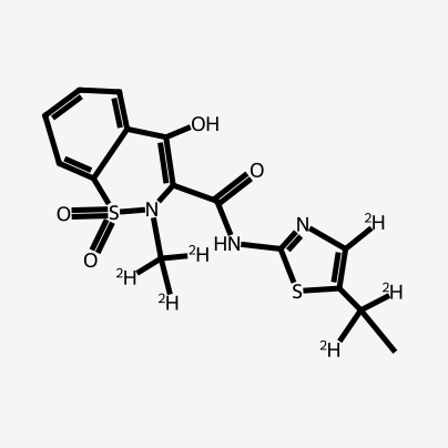 [2H]c1nc(NC(=O)C2=C(O)c3ccccc3S(=O)(=O)N2C([2H])([2H])[2H])sc1C([2H])([2H])C